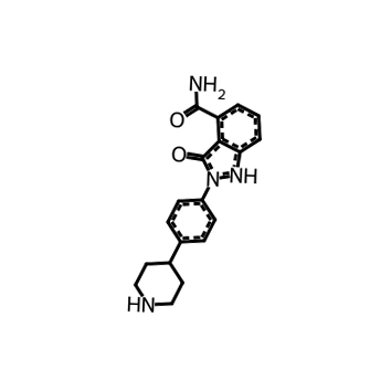 NC(=O)c1cccc2[nH]n(-c3ccc(C4CCNCC4)cc3)c(=O)c12